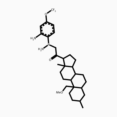 COCC12CCC(C)CC1CCC1C3CCC(C(=O)CN(N)c4ccc(OC(F)(F)F)cc4N)C3(C)CCC12